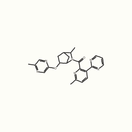 Cc1cnc(OC2CC3CC2N(C(=O)c2nc(C)ccc2-c2ncccn2)C3C)cn1